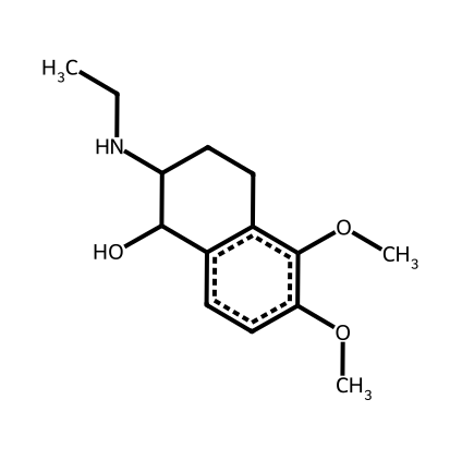 CCNC1CCc2c(ccc(OC)c2OC)C1O